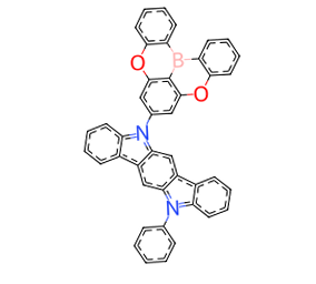 c1ccc(-n2c3ccccc3c3cc4c(cc32)c2ccccc2n4-c2cc3c4c(c2)Oc2ccccc2B4c2ccccc2O3)cc1